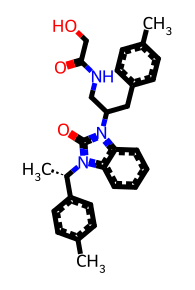 Cc1ccc(CC(CNC(=O)CO)n2c(=O)n([C@@H](C)c3ccc(C)cc3)c3ccccc32)cc1